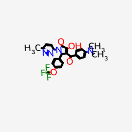 Cc1ccc(N2C(=O)C(O)=C(C(=O)c3ccc(N(C)C)cc3)C2c2ccc(OC(F)(F)F)cc2)nn1